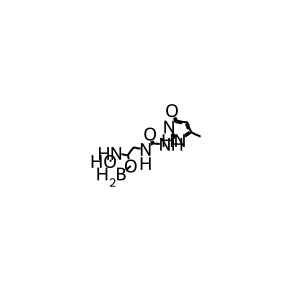 BOC(CNC(=O)Nc1nc(=O)cc(C)[nH]1)NO